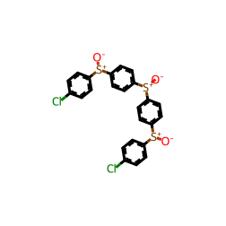 [O-][S+](c1ccc(Cl)cc1)c1ccc([S+]([O-])c2ccc([S+]([O-])c3ccc(Cl)cc3)cc2)cc1